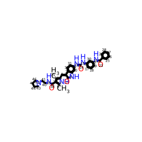 Cc1[nH]c(C=C2C(=O)Nc3cc(NC(=O)Nc4cccc(NC(=O)c5ccccc5)c4)ccc32)c(C)c1C(=O)NCCN1CCCC1